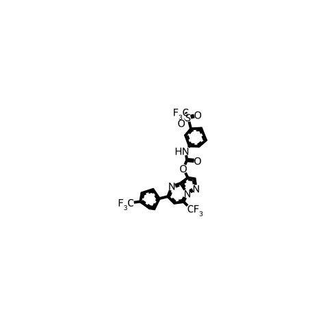 O=C(Nc1cccc(S(=O)(=O)C(F)(F)F)c1)Oc1cnn2c(C(F)(F)F)cc(-c3ccc(C(F)(F)F)cc3)nc12